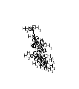 CC[C@H](C)[C@@H]([C@@H](CC(=O)N1CCC[C@H]1[C@H](OC)[C@@H](C)C(=O)N[C@H](C)[C@@H](OC(=O)NCCC[SiH](C)C)c1ccccc1)OC)N(C)C(=O)[C@@H](NC(=O)[C@H](C(C)C)N(C)C)C(C)C